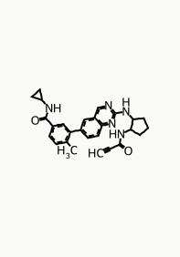 C#CC(=O)NC1CCCC1Nc1ncc2cc(-c3cc(C(=O)NC4CC4)ccc3C)ccc2n1